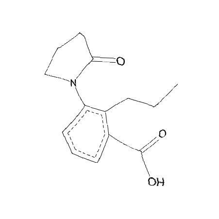 CCCc1c(C(=O)O)cccc1N1CCCC1=O